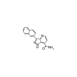 NC(=O)c1c[c]nc2c(-c3ccc4ccccc4c3)n[nH]c12